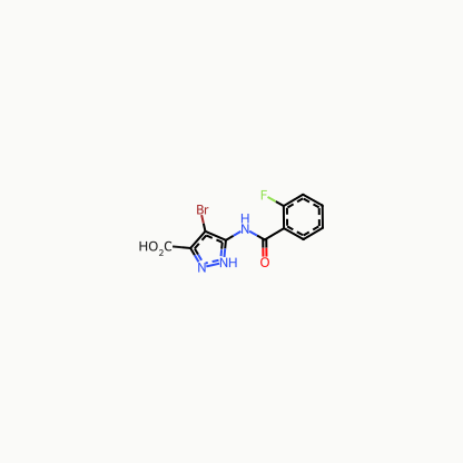 O=C(Nc1[nH]nc(C(=O)O)c1Br)c1ccccc1F